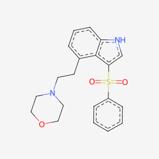 O=S(=O)(c1ccccc1)c1c[nH]c2cccc(CCN3CCOCC3)c12